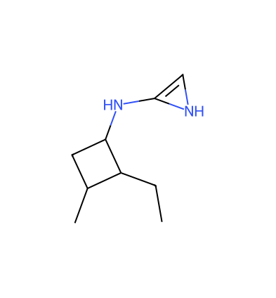 CCC1C(C)CC1NC1=CN1